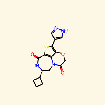 O=C1N[C@H](C2CCC2)CN2C(=O)COc3c(-c4cn[nH]c4)sc1c32